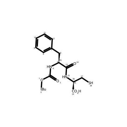 CC(C)(C)OC(=O)N[C@@H](Cc1ccccc1)C(=O)N[C@@H](CS)C(=O)O